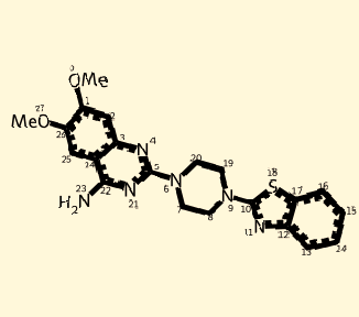 COc1cc2nc(N3CCN(c4nc5ccccc5s4)CC3)nc(N)c2cc1OC